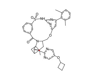 Cc1cccc(C)c1-c1cc2nc(n1)NS(=O)(=O)c1cccc(c1)C(=O)N(C13CC(C1)C3c1ncc(OC3CCC3)cn1)C(CC(C)C)CO2